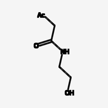 CC(=O)CC(=O)NCCO